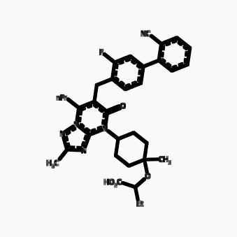 CCCc1c(Cc2ccc(-c3ccccc3C#N)cc2F)c(=O)n(C2CCC(C)(OC(CC)C(=O)O)CC2)c2nc(C)nn12